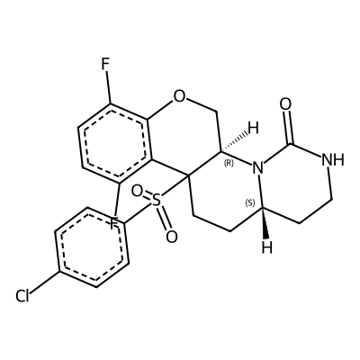 O=C1NCC[C@@H]2CCC3(S(=O)(=O)c4ccc(Cl)cc4)c4c(F)ccc(F)c4OC[C@H]3N12